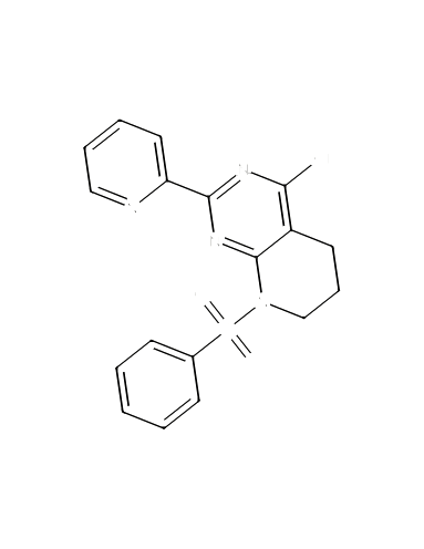 O=S(=O)(c1ccccc1)N1CCCc2c(O)nc(-c3ccccn3)nc21